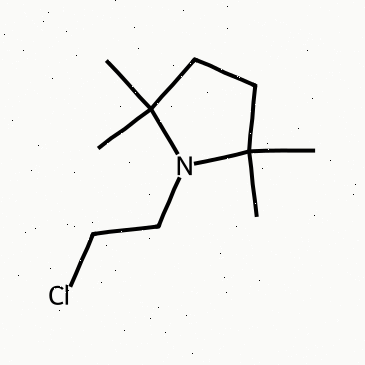 CC1(C)CCC(C)(C)N1CCCl